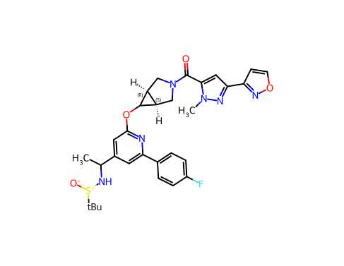 CC(N[S+]([O-])C(C)(C)C)c1cc(OC2[C@H]3CN(C(=O)c4cc(-c5ccon5)nn4C)C[C@@H]23)nc(-c2ccc(F)cc2)c1